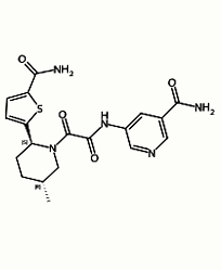 C[C@@H]1CC[C@@H](c2ccc(C(N)=O)s2)N(C(=O)C(=O)Nc2cncc(C(N)=O)c2)C1